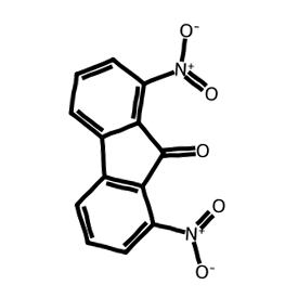 O=C1c2c(cccc2[N+](=O)[O-])-c2cccc([N+](=O)[O-])c21